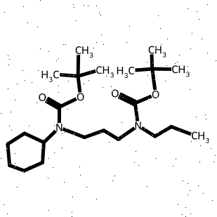 CCCN(CCCN(C(=O)OC(C)(C)C)C1CCCCC1)C(=O)OC(C)(C)C